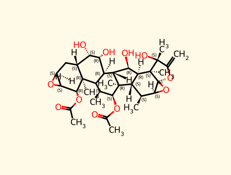 C=C1O[C@]23O[C@H]2[C@@H](C)[C@H]2[C@@H]([C@H](O)[C@H]4[C@H]5C([C@H](C)[C@H](OC(C)=O)[C@@]42C)[C@]2(C)[C@H](C[C@@H]4O[C@@H]4[C@@H]2OC(C)=O)[C@H](O)[C@@H]5O)[C@@]3(C)[C@]1(C)O